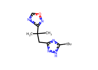 CC(C)(C)c1nc(CC(C)(C)c2ncon2)n[nH]1